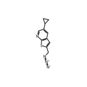 [N-]=[N+]=NCc1cc2cc(C3CC3)cnc2s1